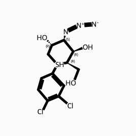 [N-]=[N+]=N[C@@H]1[C@@H](O)[C@@H](CO)[SH](c2ccc(Cl)c(Cl)c2)C[C@@H]1O